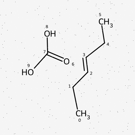 CCC=CCC.O=C(O)O